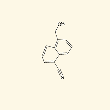 N#Cc1cccc2c(CO)cccc12